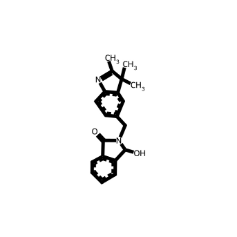 CC1=Nc2ccc(CN3C(=O)c4ccccc4C3O)cc2C1(C)C